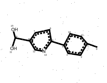 Cc1ccc(-c2ccc(C(O)O)cn2)cc1